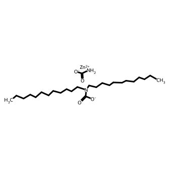 CCCCCCCCCCCCN(CCCCCCCCCCCC)C(=O)[O-].NC(=O)[O-].[Zn+2]